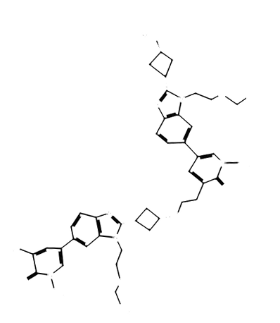 CO[C@H]1C[C@H](c2nc3ccc(-c4cc(CCO[C@H]5C[C@@H](c6nc7ccc(-c8cc(C)c(=O)n(C)c8)cc7n6CCOCC(F)(F)F)C5)c(=O)n(C)c4)cc3n2CCOCC(F)(F)F)C1